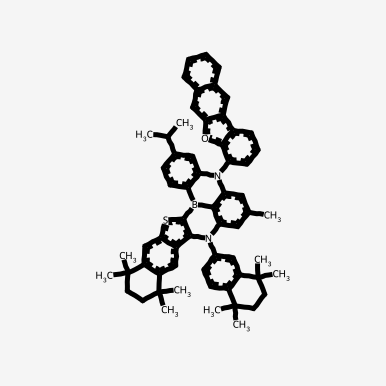 Cc1cc2c3c(c1)N(c1cccc4c1oc1cc5ccccc5cc14)c1cc(C(C)C)ccc1B3c1sc3cc4c(cc3c1N2c1ccc2c(c1)C(C)(C)CCC2(C)C)C(C)(C)CCC4(C)C